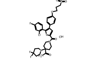 CS(=O)(=O)CCCOc1ccc(-c2cc(C(=O)N3CCC(C(N)=O)(N4CCC(F)(F)CC4)CC3)sc2-c2ccc(F)cc2Cl)cc1.Cl